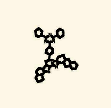 c1ccc(-c2nc(-c3ccccc3)nc(-c3ccc(-c4cc5c6ccc7ccccc7c6sc5c5nc6c7cc8ccccc8cc7ccc6n45)cc3)n2)cc1